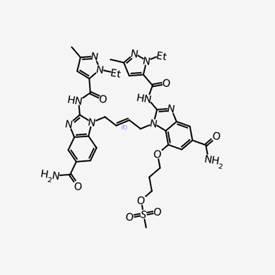 CCn1nc(C)cc1C(=O)Nc1nc2cc(C(N)=O)ccc2n1C/C=C/Cn1c(NC(=O)c2cc(C)nn2CC)nc2cc(C(N)=O)cc(OCCCOS(C)(=O)=O)c21